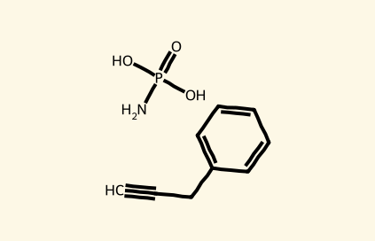 C#CCc1ccccc1.NP(=O)(O)O